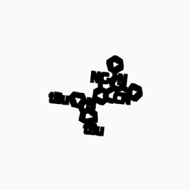 Cc1cc(-n2c3ccc(C(C)(C)C)cc3c3cc(C(C)(C)C)ccc32)cc(C)c1-c1c(C#N)c(-c2ccccc2)nc(-c2ccccc2)c1C#N